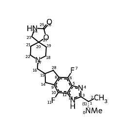 CN[C@@H](C)c1nc2c(F)c3c(c(F)c2[nH]1)CC(CN1CCC2(CC1)CNC(=O)O2)C3